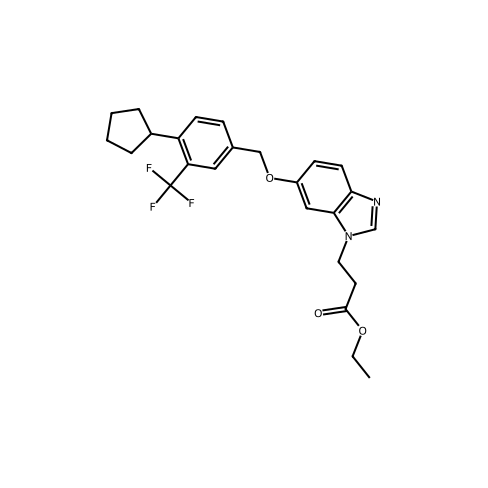 CCOC(=O)CCn1cnc2ccc(OCc3ccc(C4CCCC4)c(C(F)(F)F)c3)cc21